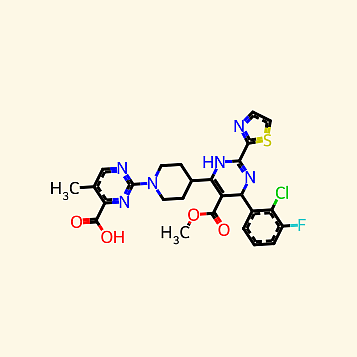 COC(=O)C1=C(C2CCN(c3ncc(C)c(C(=O)O)n3)CC2)NC(c2nccs2)=NC1c1cccc(F)c1Cl